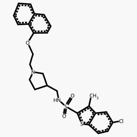 Cc1c(S(=O)(=O)NCC2CCN(CCOc3cccc4ccccc34)C2)sc2ccc(Cl)cc12